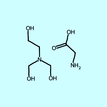 NCC(=O)O.OCCN(CO)CO